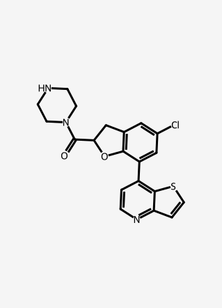 O=C(C1Cc2cc(Cl)cc(-c3ccnc4ccsc34)c2O1)N1CCNCC1